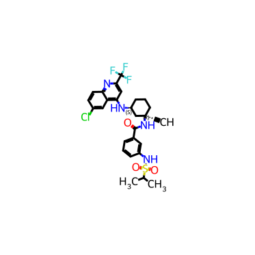 C#C[C@@]1(NC(=O)c2cccc(NS(=O)(=O)C(C)C)c2)CCC[C@H](Nc2cc(C(F)(F)F)nc3ccc(Cl)cc23)C1